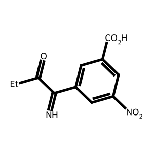 CCC(=O)C(=N)c1cc(C(=O)O)cc([N+](=O)[O-])c1